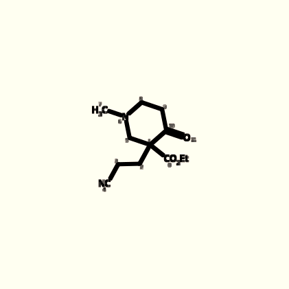 CCOC(=O)C1(CCC#N)CN(C)CCC1=O